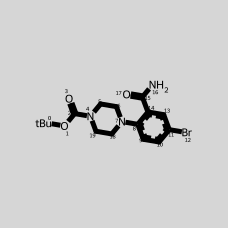 CC(C)(C)OC(=O)N1CCN(c2ccc(Br)cc2C(N)=O)CC1